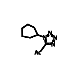 CC(=O)c1nnnn1C1CCCCC1